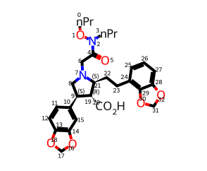 CCCON(CCC)C(=O)CN1C[C@H](c2ccc3c(c2)OCO3)[C@@H](C(=O)O)[C@@H]1CCc1cccc2c1OCO2